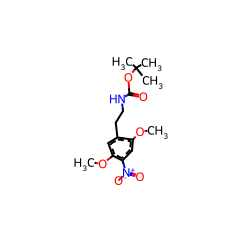 COc1cc([N+](=O)[O-])c(OC)cc1CCNC(=O)OC(C)(C)C